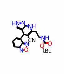 CC(C)(C)OC(=O)NCCC1=C(C#N)C(c2cccc3nonc23)c2c[nH]nc2N1